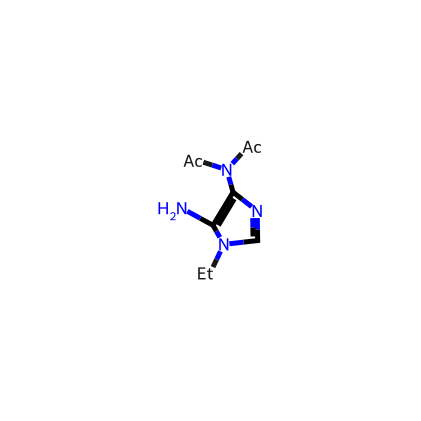 CCn1cnc(N(C(C)=O)C(C)=O)c1N